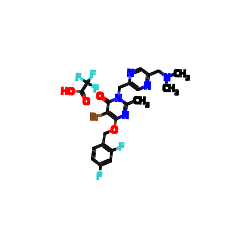 Cc1nc(OCc2ccc(F)cc2F)c(Br)c(=O)n1Cc1cnc(CN(C)C)cn1.O=C(O)C(F)(F)F